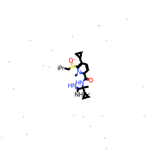 CC(=O)NC(=N)C(C)(NC(=O)C1C=CC(C2CC2)=C([S+]([O-])CC(C)C)N1C)C1CC1